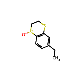 CCc1ccc2c(c1)SCC[S+]2[O-]